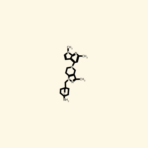 Cc1cc(N2CCc3c(c(C)nn3CC34CCC(N)(CC3)CC4)C2)c2ccn(C)c2n1